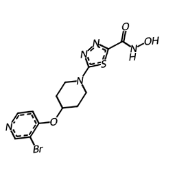 O=C(NO)c1nnc(N2CCC(Oc3ccncc3Br)CC2)s1